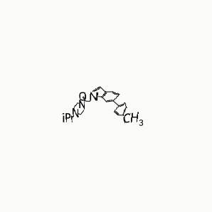 Cc1ccc(-c2ccc3ccn(CC(=O)N4CCN(C(C)C)CC4)c3c2)cc1